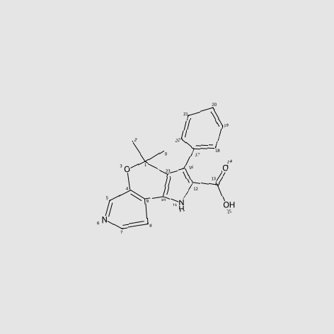 CC1(C)Oc2cnccc2-c2[nH]c(C(=O)O)c(-c3ccccc3)c21